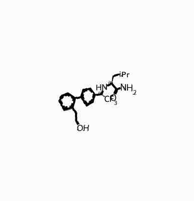 CC(C)C[C@H](N[C@@H](c1ccc(-c2ccccc2CCO)cc1)C(F)(F)F)C(N)=O